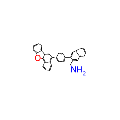 NCC1=CC2=CC=CCC2C=C1c1ccc(-c2cc3c4ccccc4oc3c3ccccc23)cc1